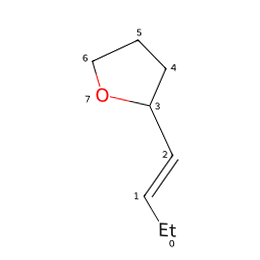 CCC=CC1CCCO1